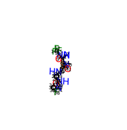 CCn1c(=C=C(C#N)C(=O)NCC(F)(F)F)sc(=C=CNc2cccc(NC(=O)CN(C)c3ccccc3F)c2)c1=O